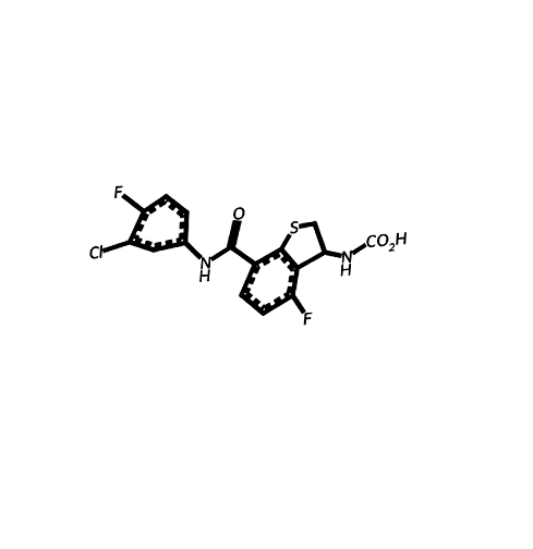 O=C(O)NC1CSc2c(C(=O)Nc3ccc(F)c(Cl)c3)ccc(F)c21